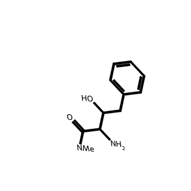 CNC(=O)C(N)C(O)Cc1ccccc1